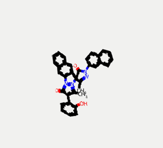 CC1=NN(c2ccc3ccccc3c2)C(=O)C12c1cc3ccccc3cc1-n1c(=O)c(-c3ccccc3O)c(C)n12